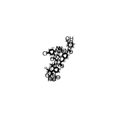 CC(C)(C)c1c(NC(=O)C(Cc2ccc(NC(=O)N3CCO[C@H](CO)C3)cc2)N2CCN(c3cc(Cl)ccc3-n3cnnn3)C(=O)C2=O)ccc2c1c(C(C)(C)C)c(C(=O)O)n2C(=O)O